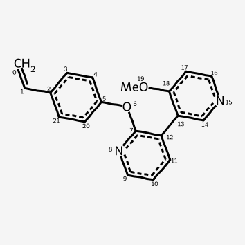 C=Cc1ccc(Oc2ncccc2-c2cnccc2OC)cc1